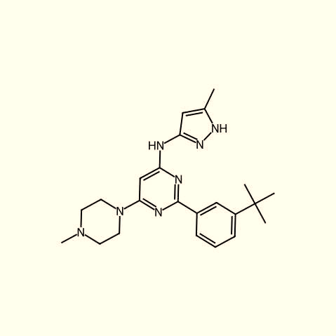 Cc1cc(Nc2cc(N3CCN(C)CC3)nc(-c3cccc(C(C)(C)C)c3)n2)n[nH]1